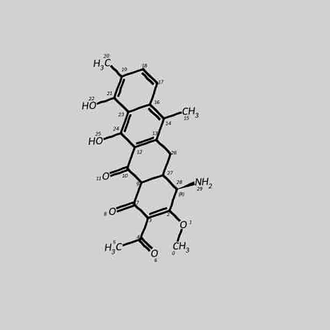 COC1=C(C(C)=O)C(=O)C2C(=O)c3c(c(C)c4ccc(C)c(O)c4c3O)CC2[C@H]1N